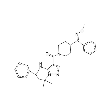 CON=C(c1ccccc1)C1CCN(C(=O)c2cnn3c2NC(c2ccccc2)CC3(C)C)CC1